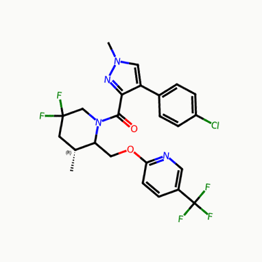 C[C@@H]1CC(F)(F)CN(C(=O)c2nn(C)cc2-c2ccc(Cl)cc2)C1COc1ccc(C(F)(F)F)cn1